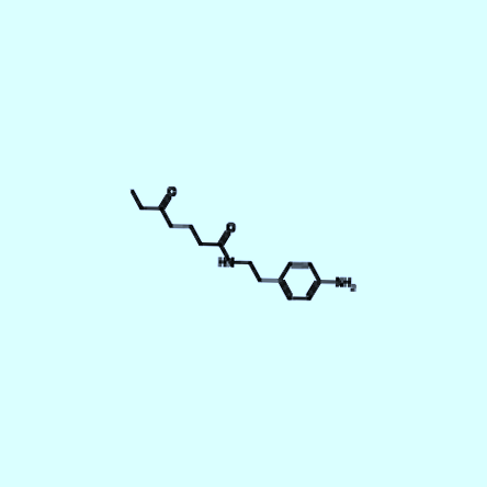 CCC(=O)CCCC(=O)NCCc1ccc(N)cc1